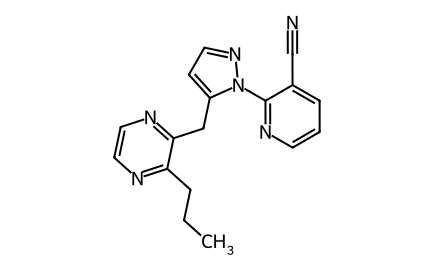 CCCc1nccnc1Cc1ccnn1-c1ncccc1C#N